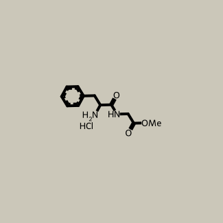 COC(=O)CNC(=O)C(N)Cc1ccccc1.Cl